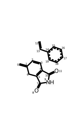 C=C1C=CC2=C(C1)C(=O)NC2=O.C=Cc1ccccc1